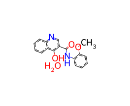 COc1ccccc1NC(=O)c1cnc2ccccc2c1O.O